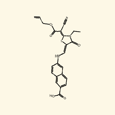 C=CCOC(=O)C(C#N)=c1sc(=CNc2ccc3cc(C(=O)O)ccc3c2)c(=O)n1CC